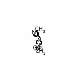 Cc1cc(CN2CCN(S(C)(=O)=O)CC2)ccn1